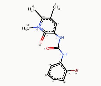 Cc1cc(NC(=O)Nc2ccccc2Br)c(=O)n(C)c1C